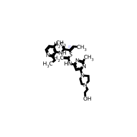 C=C(Nc1cc(N2CCN(CCO)CC2)nc(C)n1)S/C(=C\C)C(=C)Nc1c(C)ccnc1CC